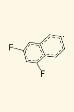 Fc1cc(F)c2cc[c]cc2c1